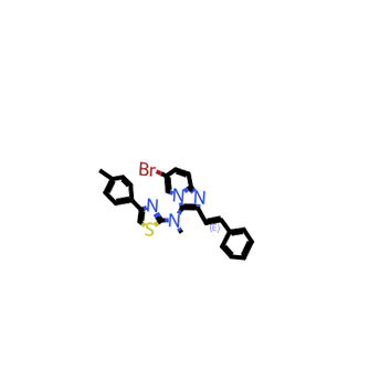 Cc1ccc(-c2csc(N(C)c3c(/C=C/c4ccccc4)nc4ccc(Br)cn34)n2)cc1